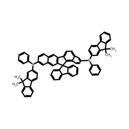 CC1(C)c2ccccc2-c2ccc(N(c3ccccc3)c3ccc4cc5c(cc4c3)C3(c4ccccc4-c4ccccc43)c3c-5ccc4cc(N(c5ccccc5)c5ccc6c(c5)C(C)(C)c5ccccc5-6)ccc34)cc21